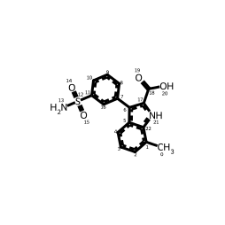 Cc1cccc2c(-c3cccc(S(N)(=O)=O)c3)c(C(=O)O)[nH]c12